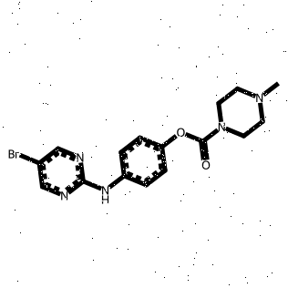 CN1CCN(C(=O)Oc2ccc(Nc3ncc(Br)cn3)cc2)CC1